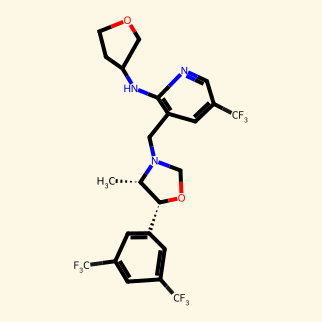 C[C@H]1[C@@H](c2cc(C(F)(F)F)cc(C(F)(F)F)c2)OCN1Cc1cc(C(F)(F)F)cnc1NC1CCOC1